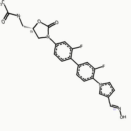 CC(=O)[N]C[C@H]1CN(c2ccc(-c3ccc(-n4ccc(/C=N/O)c4)c(F)c3)c(F)c2)C(=O)O1